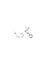 Cc1noc2c(O[C@@H]3CC(C(=O)O)N(C(=O)[C@@H](NC(=O)OC(C)(C)C)C(C)(C)C)C3)cc(-c3ccccc3)nc12